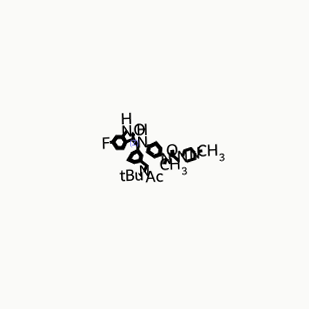 CC(=O)N(Cc1cccc(/C(Nc2ccc(N(C)C(=O)CN3CCN(C)CC3)cc2)=C2/C(=O)Nc3cc(F)ccc32)c1)C(C)(C)C